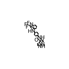 O=C(Nc1ccc(Nc2cccc3nc(C(F)(F)F)cn23)cc1)c1ncnc2[nH]ccc12